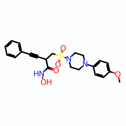 COc1ccc(N2CCN(S(=O)(=O)CC(C#Cc3ccccc3)C(=O)NO)CC2)cc1